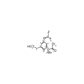 CC(C)(C)OC(=O)C(F)(F)F.O=C(O)Cc1cc(OC(F)F)ccn1